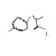 CC(Sc1ccc(Cl)cc1)C(=O)NN